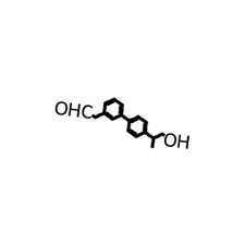 CC(CO)c1ccc(-c2cccc(CC=O)c2)cc1